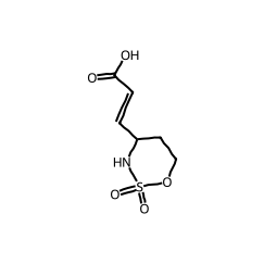 O=C(O)C=CC1CCOS(=O)(=O)N1